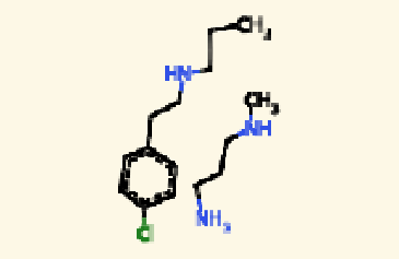 CCCNCCc1ccc(Cl)cc1.CNCCCN